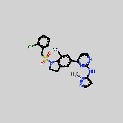 Cn1nccc1Nc1nccc(-c2cc(C#N)c3c(c2)CCN3S(=O)(=O)Cc2ccccc2Cl)n1